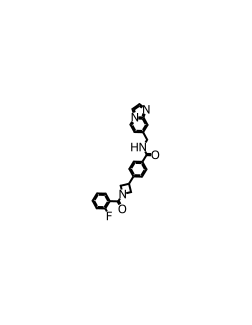 O=C(NCc1ccn2ccnc2c1)c1ccc(C2CN(C(=O)c3ccccc3F)C2)cc1